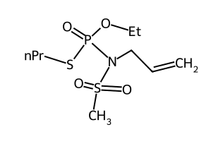 C=CCN(P(=O)(OCC)SCCC)S(C)(=O)=O